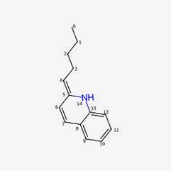 CCCCC=C1C=Cc2ccccc2N1